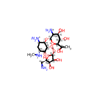 CN[C@@H]1CC(N)[C@@H](O[C@H]2OC(C(C)O)[C@@H](O)[C@H](O)C2N)[C@H](OO[C@@H]2O[C@H](CN)[C@H](O)C2O)C1O